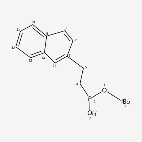 CCC(C)OP(O)CCc1ccc2ccccc2c1